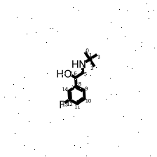 CC(C)(C)NCC(O)c1cccc(F)c1